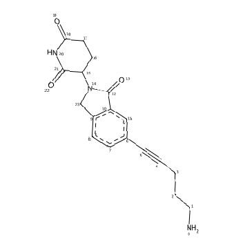 NCCCC#Cc1ccc2c(c1)C(=O)N(C1CCC(=O)NC1=O)C2